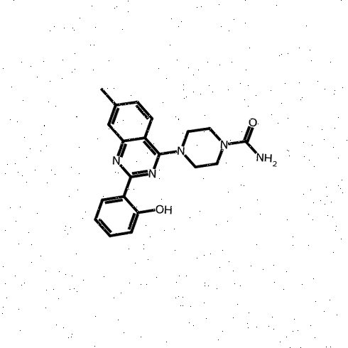 Cc1ccc2c(N3CCN(C(N)=O)CC3)nc(-c3ccccc3O)nc2c1